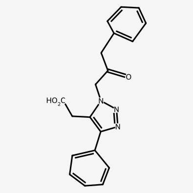 O=C(O)Cc1c(-c2ccccc2)nnn1CC(=O)Cc1ccccc1